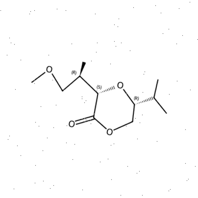 COC[C@@H](C)[C@@H]1O[C@H](C(C)C)COC1=O